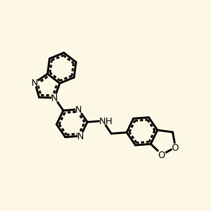 c1ccc2c(c1)ncn2-c1ccnc(NCc2ccc3c(c2)OOC3)n1